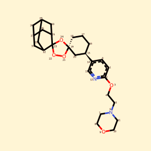 c1cc(OCCN2CCOCC2)ncc1[C@@H]1CCC[C@]2(C1)OOC1(O2)C2CC3CC(C2)CC1C3